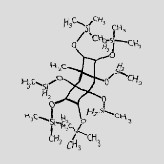 C[SiH2]OC12C3(C)C4(O[SiH2]C)C1(O[SiH2]C)C1(O[Si](C)(C)C)C2(O[Si](C)(C)C)C3(O[Si](C)(C)C)C41O[Si](C)(C)C